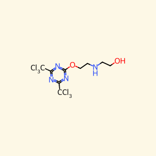 OCCNCCOc1nc(C(Cl)(Cl)Cl)nc(C(Cl)(Cl)Cl)n1